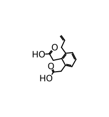 C=CCc1cccc(CC(=O)O)c1CC(=O)O